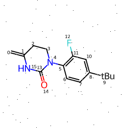 C=C1CCN(c2ccc(C(C)(C)C)cc2F)C(=O)N1